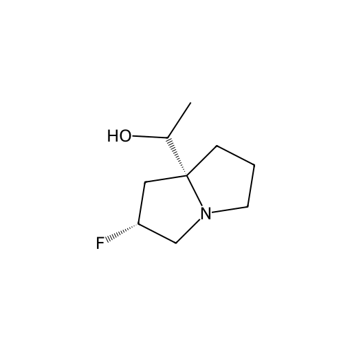 CC(O)[C@]12CCCN1C[C@H](F)C2